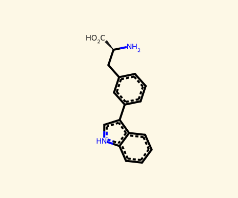 N[C@@H](Cc1cccc(-c2c[nH]c3ccccc23)c1)C(=O)O